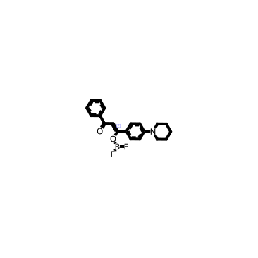 O=C(/C=C(\OB(F)F)c1ccc(N2CCCCC2)cc1)c1ccccc1